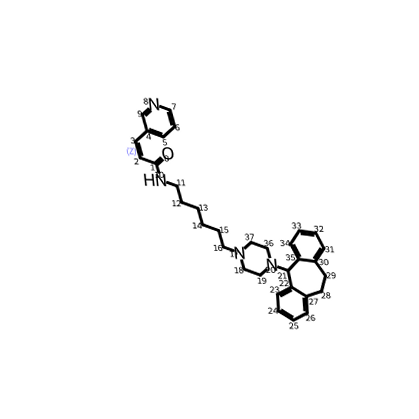 O=C(/C=C\c1cccnc1)NCCCCCCN1CCN(C2c3ccccc3CCc3ccccc32)CC1